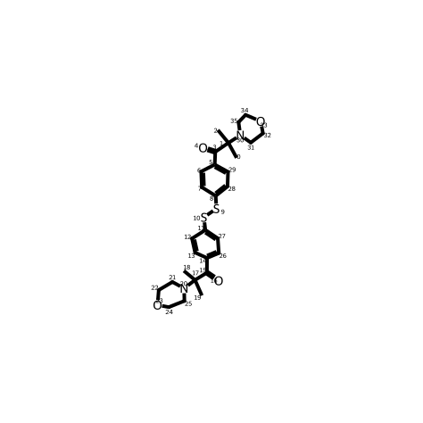 CC(C)(C(=O)c1ccc(SSc2ccc(C(=O)C(C)(C)N3CCOCC3)cc2)cc1)N1CCOCC1